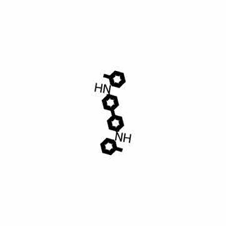 Cc1ccccc1Nc1ccc(-c2ccc(Nc3ccccc3C)cc2)cc1